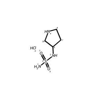 Cl.NS(=O)(=O)NC1CCNC1